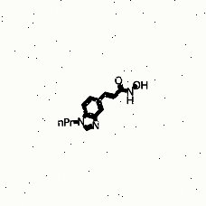 CCCn1cnc2cc(C=CC(=O)NO)ccc21